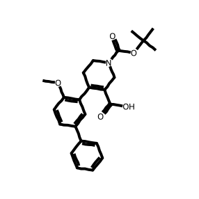 COc1ccc(-c2ccccc2)cc1C1=C(C(=O)O)CN(C(=O)OC(C)(C)C)CC1